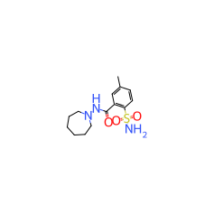 Cc1ccc(S(N)(=O)=O)c(C(=O)NN2CCCCCC2)c1